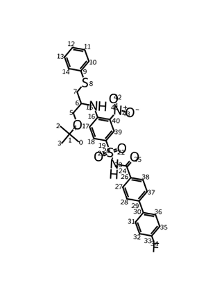 CC(C)(C)OCC(CSc1ccccc1)Nc1ccc(S(=O)(=O)NC(=O)c2ccc(-c3ccc(F)cc3)cc2)cc1[N+](=O)[O-]